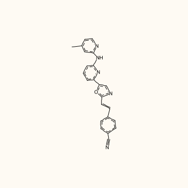 Cc1ccnc(Nc2cccc(-c3cnc(/C=C/c4ccc(C#N)cc4)o3)n2)c1